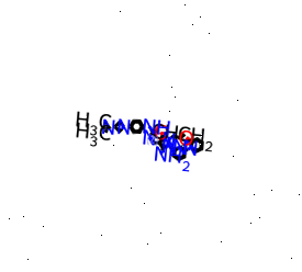 C=CCn1c(=O)c(/C=N\C(=C)Nc2ccc(N3CC(N(C)C)C3)cc2)c(N)n1-c1cccc(-n2ccccc2=O)n1